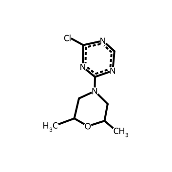 CC1CN(c2ncnc(Cl)n2)CC(C)O1